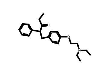 CCC(=O)C(Cc1ccc(OCCN(CC)CC)cc1)c1ccccc1